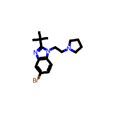 CC(C)(C)c1nc2cc(Br)ccc2n1CCN1CCCC1